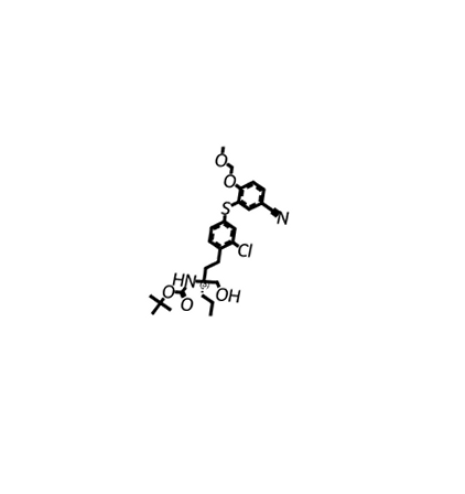 CCC[C@@](CO)(CCc1ccc(Sc2cc(C#N)ccc2OCOC)cc1Cl)NC(=O)OC(C)(C)C